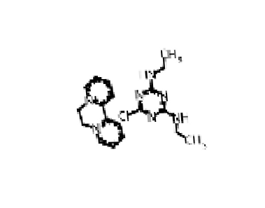 CCNc1nc(Cl)nc(NCC)n1.c1cc[n+]2c(c1)-c1cccc[n+]1CC2